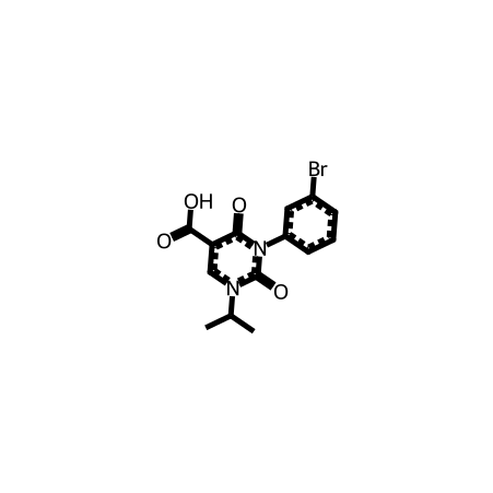 CC(C)n1cc(C(=O)O)c(=O)n(-c2cccc(Br)c2)c1=O